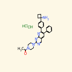 CC(=O)N1CCN(c2ncc3cc(-c4ccccc4)c(-c4ccc(C5(N)CCC5)cc4)nc3n2)CC1.Cl.Cl